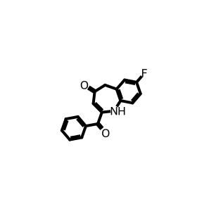 O=C1C=C(C(=O)c2ccccc2)Nc2ccc(F)cc2C1